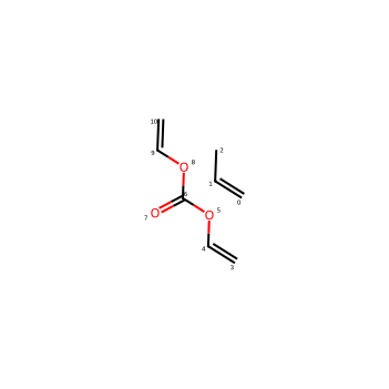 C=CC.C=COC(=O)OC=C